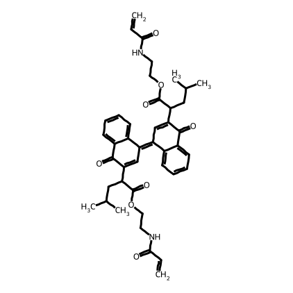 C=CC(=O)NCCOC(=O)C(CC(C)C)C1=C/C(=C2/C=C(C(CC(C)C)C(=O)OCCNC(=O)C=C)C(=O)c3ccccc32)c2ccccc2C1=O